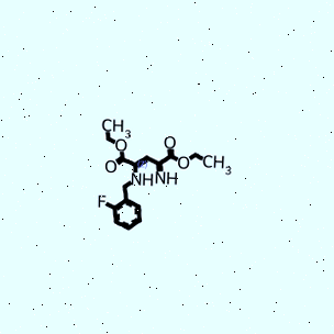 CCOC(=O)C(=N)/C=C(\NCc1ccccc1F)C(=O)OCC